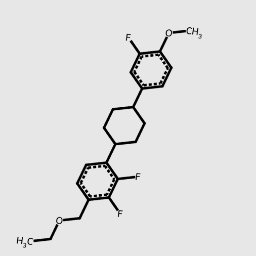 CCOCc1ccc(C2CCC(c3ccc(OC)c(F)c3)CC2)c(F)c1F